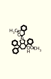 COc1ccccc1CC(=O)N1CC2C(C1)C(c1ccccc1)(c1ccccc1)CCC2(O)c1ccccc1OC